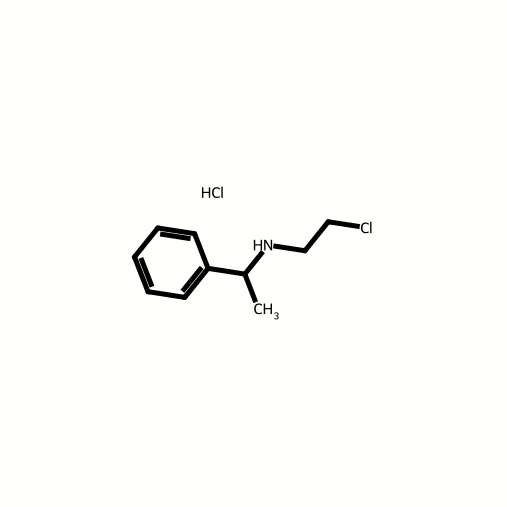 CC(NCCCl)c1ccccc1.Cl